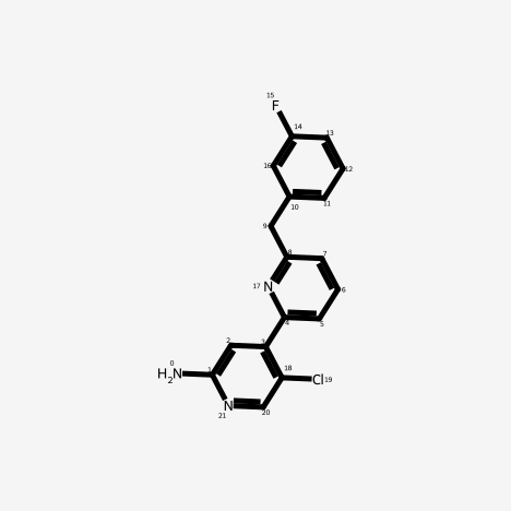 Nc1cc(-c2cccc(Cc3cccc(F)c3)n2)c(Cl)cn1